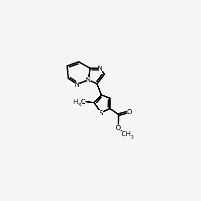 COC(=O)c1cc(-c2cnc3cccnn23)c(C)s1